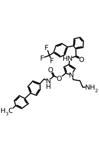 Cc1ccc(-c2ccc(CNC(=O)Oc3cc(NC(=O)c4ccccc4-c4ccc(C(F)(F)F)cc4)cn3CCCN)cc2)cc1